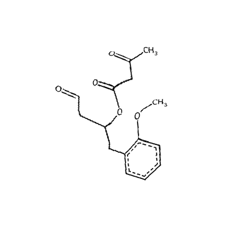 COc1ccccc1CC(CC=O)OC(=O)CC(C)=O